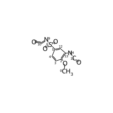 COc1ccc(S(=O)(=O)N=C=O)cc1N=C=O